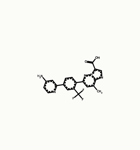 Cc1cc(-c2ccc(-c3cc(N)ccn3)cc2C(F)(F)F)nn2c(C(=O)O)cnc12